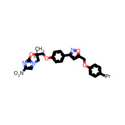 CC(C)c1ccc(OCc2cc(-c3ccc(OC[C@@]4(C)Cn5cc([N+](=O)[O-])nc5O4)cc3)no2)cc1